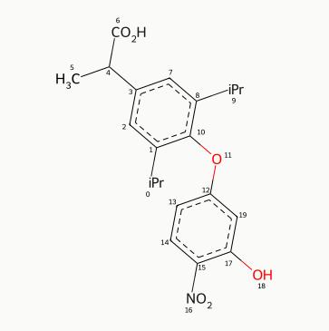 CC(C)c1cc(C(C)C(=O)O)cc(C(C)C)c1Oc1ccc([N+](=O)[O-])c(O)c1